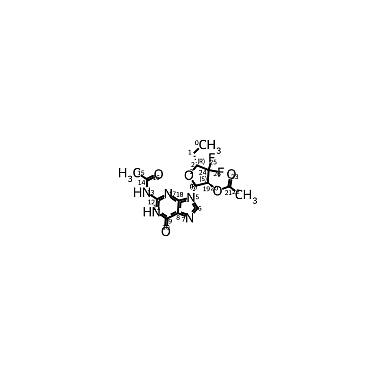 CC[C@H]1O[C@@H](n2cnc3c(=O)[nH]c(NC(C)=O)nc32)[C@H](OC(C)=O)C1(F)F